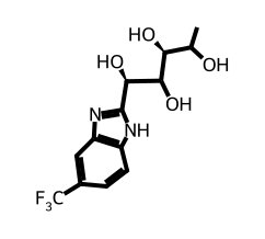 CC(O)[C@H](O)C(O)[C@H](O)c1nc2cc(C(F)(F)F)ccc2[nH]1